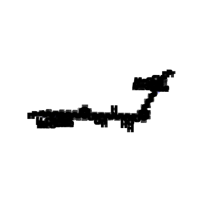 CCC/C=C/CC(/C=C/CCCCCCc1cccc(OCC(O)CNCCNCCNCC(O)COc2cccc(CCCCCC/C=C/C(C/C=C/CCC)C(C)[Si](OC)(OC)OC)c2)c1)C(C)[Si](OC)(OC)OC